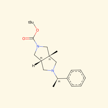 C[C@H](c1ccccc1)N1C[C@@H]2CN(C(=O)OC(C)(C)C)C[C@]2(C)C1